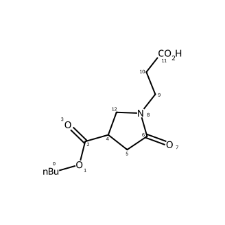 CCCCOC(=O)C1CC(=O)N(CCC(=O)O)C1